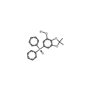 CCOc1cc(P(=O)(c2ccccc2)c2ccccc2)cc2c1OC(C)(C)O2